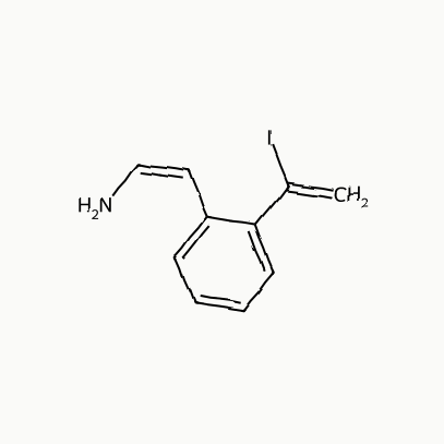 C=C(I)c1ccccc1/C=C\N